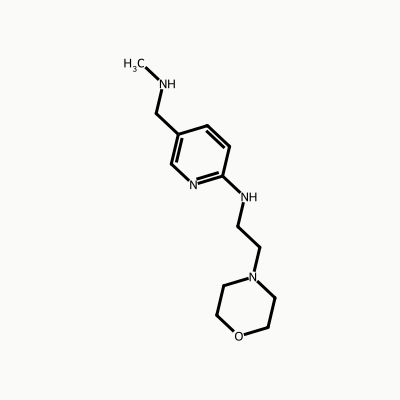 CNCc1ccc(NCCN2CCOCC2)nc1